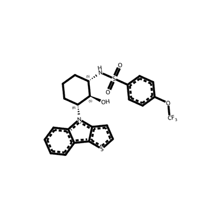 O=S(=O)(N[C@H]1CCC[C@@H](n2c3ccccc3c3sccc32)[C@@H]1O)c1ccc(OC(F)(F)F)cc1